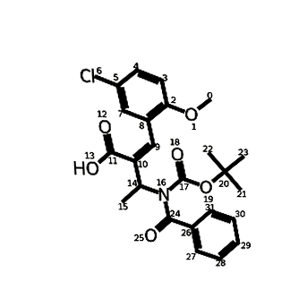 COc1ccc(Cl)cc1C=C(C(=O)O)C(C)N(C(=O)OC(C)(C)C)C(=O)c1ccccc1